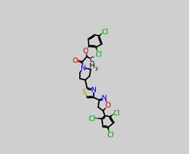 CC(Oc1ccc(Cl)cc1Cl)C(=O)N1CCC(c2nc(C3=NOC(c4c(Cl)cc(Cl)cc4Cl)C3)cs2)CC1